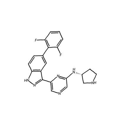 Fc1cccc(F)c1-c1ccc2[nH]nc(-c3cncc(N[C@@H]4CCNC4)n3)c2c1